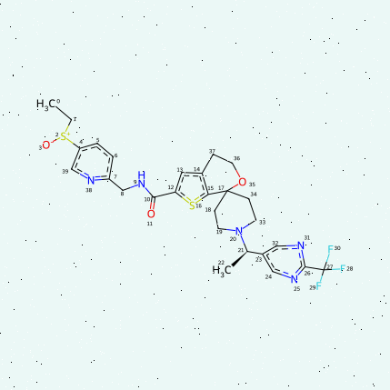 CC[S+]([O-])c1ccc(CNC(=O)c2cc3c(s2)C2(CCN([C@H](C)c4cnc(C(F)(F)F)nc4)CC2)OCC3)nc1